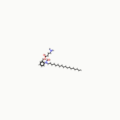 CCCCCCCCCCCCCCCCCCN(C=O)c1ccccc1COC(=O)CCCN(C)C